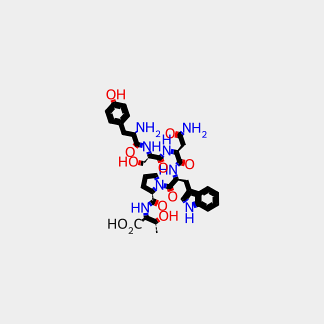 C[C@@H](O)[C@H](NC(=O)[C@@H]1CCCN1C(=O)[C@H](Cc1c[nH]c2ccccc12)NC(=O)[C@H](CC(N)=O)NC(=O)[C@H](CO)NC(=O)[C@@H](N)Cc1ccc(O)cc1)C(=O)O